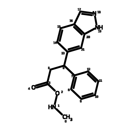 CNOC(=O)CC(c1ccccc1)c1ccc2cn[nH]c2c1